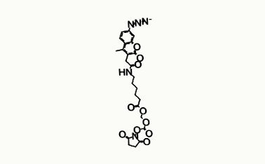 Cc1c(CC(=O)NCCCCCC(=O)OCOC(=O)ON2C(=O)CCC2=O)c(=O)oc2cc(N=[N+]=[N-])ccc12